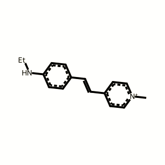 CCNc1ccc(/C=C/c2cc[n+](C)cc2)cc1